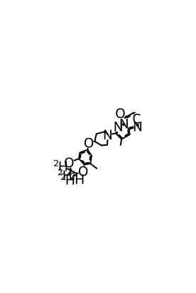 [2H]C1([2H])Oc2cc(OC3CCN(c4nn5c(=O)ccnc5cc4C)CC3)cc(C)c2OC1([2H])[2H]